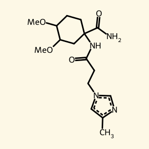 COC1CCC(NC(=O)CCn2cnc(C)c2)(C(N)=O)CC1OC